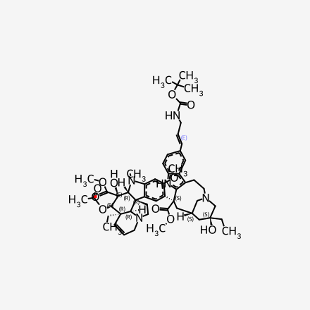 CC[C@]1(O)C[C@H]2CN(CCc3c([nH]c4ccc(/C=C/CNC(=O)OC(C)(C)C)cc34)[C@@](C(=O)OC)(c3cc4c(cc3OC)N(C)[C@H]3[C@@](O)(C(=O)OC)[C@H](OC(C)=O)[C@]5(CC)C=CCN6CC[C@]43[C@@H]65)C2)C1